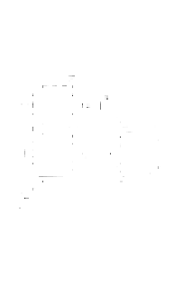 Cc1cc(-c2ccccc2O)c2ccccc2n1